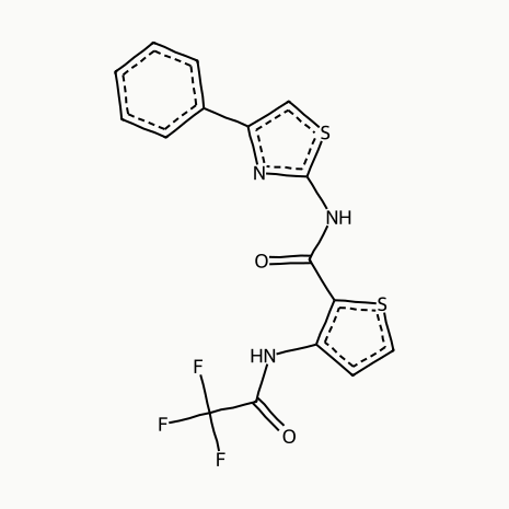 O=C(Nc1nc(-c2ccccc2)cs1)c1sccc1NC(=O)C(F)(F)F